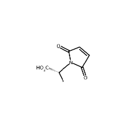 C[C@H](C(=O)O)N1C(=O)C=CC1=O